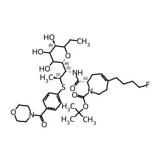 CCC1O[C@H]([C@H](NC(=O)[C@@H]2CC=C(CCCCF)CCN2C(=O)OC(C)(C)C)[C@H](C)Sc2ccc(C(=O)N3CCOCC3)cc2)C(O)C(O)[C@H]1O